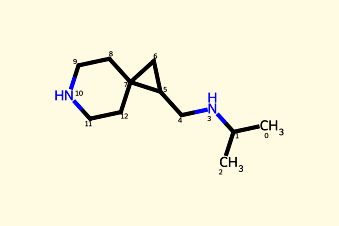 CC(C)NCC1CC12CCNCC2